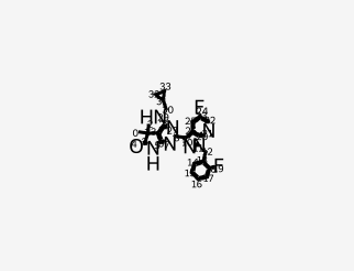 CC1(C)C(=O)Nc2nc(-c3nn(Cc4ccccc4F)c4ncc(F)cc34)nc(NCC3CC3)c21